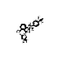 C[C@@H]1CC(F)(F)CN1c1nn(S(=O)(=O)c2ccc(C(C)(F)F)cc2)c2cccc(Cl)c12